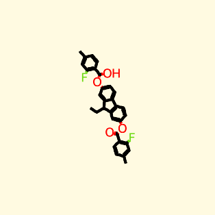 CCC1c2cc(OC(=O)c3ccc(C)cc3F)ccc2-c2ccc(OC(O)c3ccc(C)cc3F)cc21